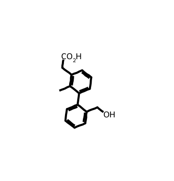 Cc1c(CC(=O)O)cccc1-c1ccccc1CO